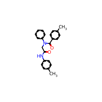 Cc1ccc(NC(=O)CN(C(=O)c2ccc(C)cc2)c2ccccc2)cc1